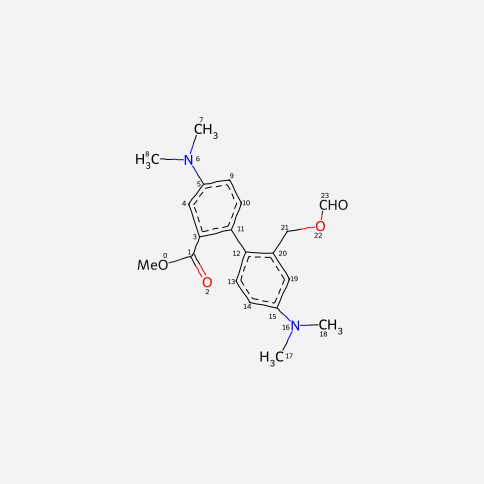 COC(=O)c1cc(N(C)C)ccc1-c1ccc(N(C)C)cc1COC=O